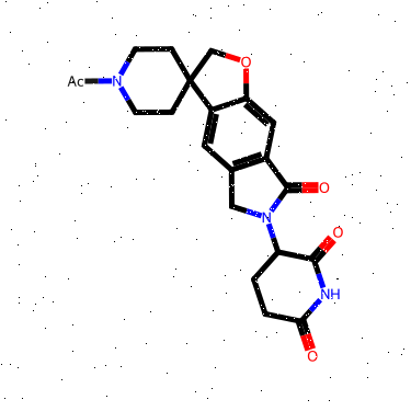 CC(=O)N1CCC2(CC1)COc1cc3c(cc12)CN(C1CCC(=O)NC1=O)C3=O